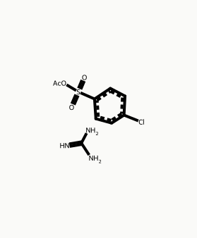 CC(=O)OS(=O)(=O)c1ccc(Cl)cc1.N=C(N)N